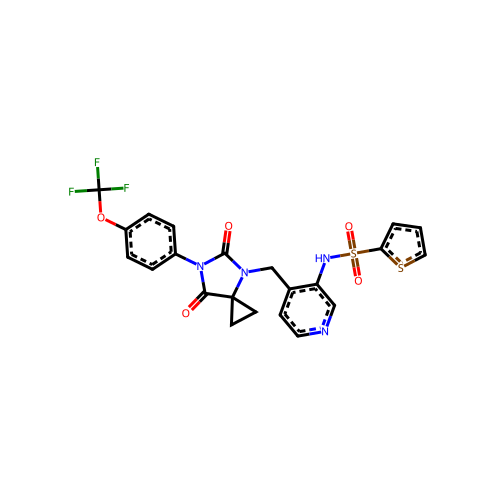 O=C1N(c2ccc(OC(F)(F)F)cc2)C(=O)C2(CC2)N1Cc1ccncc1NS(=O)(=O)c1cccs1